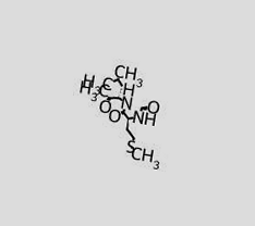 CSCC[C@H](NC=O)C(=O)N[C@@H](CC(C)C)C(C)=O